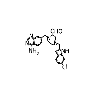 Nc1ncnc2cc(CN3CCN(Cc4cc5ccc(Cl)cc5[nH]4)CC3C=O)ccc12